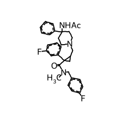 CC(=O)NC1(c2ccccc2)CCN(CC2CC2(C(=O)N(C)Cc2ccc(F)cc2)c2cccc(F)c2)CC1